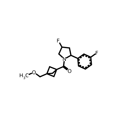 COCC12CC(C(=O)N3CC(F)CC3c3cccc(F)c3)(C1)C2